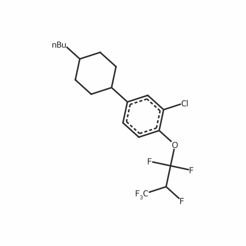 CCCCC1CCC(c2ccc(OC(F)(F)C(F)C(F)(F)F)c(Cl)c2)CC1